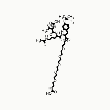 CC(C)C(NC(=O)O)C(=O)NC(CCCNC(N)=O)C(=O)NC(Cc1ccc(OC(C)(C)C)cc1)C(=O)NCCOCCOCCOCCOCCOCCNC(=O)O